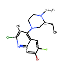 N#CC[C@H]1CN(c2c(C#N)c(Cl)nc3cc(Br)c(F)cc23)CCN1C(=O)O